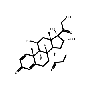 CCC=O.C[C@]12C=CC(=O)C=C1CC[C@H]1[C@@H]3C[C@@H](O)[C@](O)(C(=O)CO)[C@@]3(C)C[C@H](O)[C@@]12F